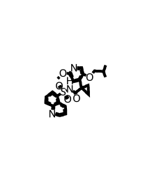 COc1cc(C2(C(=O)NS(=O)(=O)c3cccc4ncccc34)CC2)c(OCC(C)C)cn1